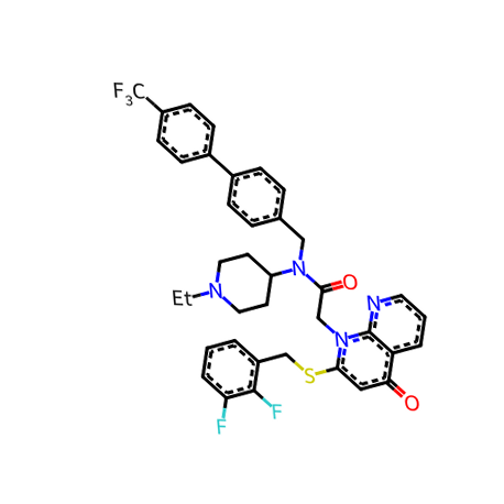 CCN1CCC(N(Cc2ccc(-c3ccc(C(F)(F)F)cc3)cc2)C(=O)Cn2c(SCc3cccc(F)c3F)cc(=O)c3cccnc32)CC1